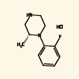 C[C@@H]1CNCCN1c1ccccc1F.Cl